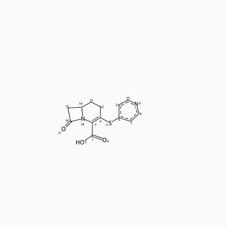 O=C(O)C1=C(Sc2ccncc2)CCC2CC(=O)N12